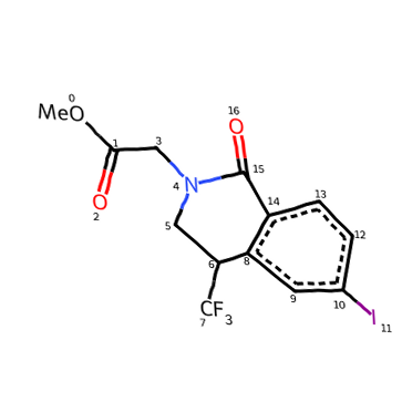 COC(=O)CN1CC(C(F)(F)F)c2cc(I)ccc2C1=O